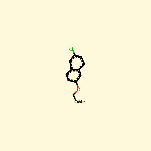 COCOc1ccc2cc(Cl)ccc2c1